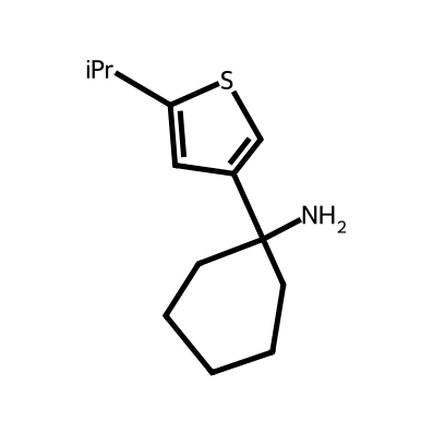 CC(C)c1cc(C2(N)CCCCC2)cs1